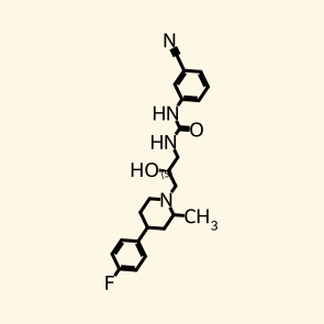 CC1CC(c2ccc(F)cc2)CCN1C[C@@H](O)CNC(=O)Nc1cccc(C#N)c1